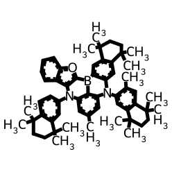 Cc1cc2c3c(c1)N(c1ccc4c(c1)C(C)(C)CCC4(C)C)c1c(oc4ccccc14)B3c1cc3c(cc1N2c1cc2c(cc1C)C(C)(C)CCC2(C)C)C(C)(C)CCC3(C)C